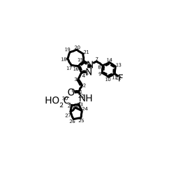 O=C(/C=C/c1nn(Cc2ccc(F)cc2)c2c1CCCCC2)N[C@@H]1C2CCC(C2)[C@@H]1C(=O)O